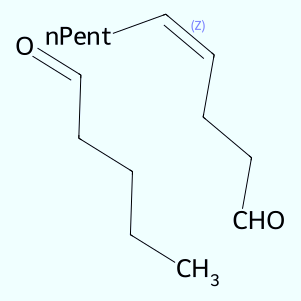 CCCCC/C=C\CCC=O.CCCCC=O